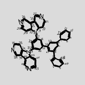 c1ccc(-c2cc(-c3ccccc3)cc(-c3cc(-n4c5ccncc5c5cnccc54)cc(-n4c5ccncc5c5cnccc54)c3)c2)cc1